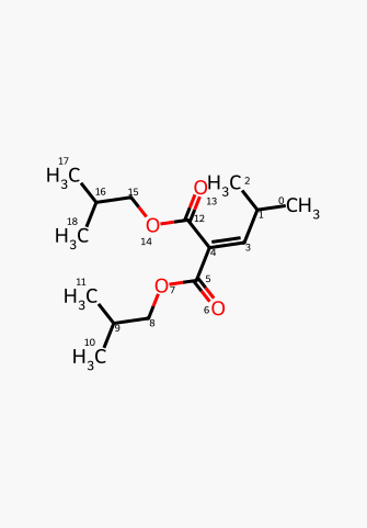 CC(C)C=C(C(=O)OCC(C)C)C(=O)OCC(C)C